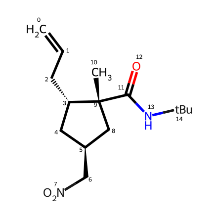 C=CC[C@H]1C[C@H](C[N+](=O)[O-])C[C@@]1(C)C(=O)NC(C)(C)C